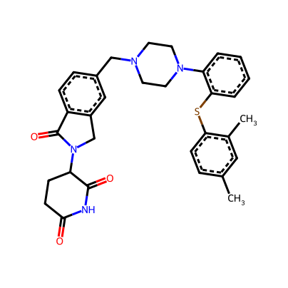 Cc1ccc(Sc2ccccc2N2CCN(Cc3ccc4c(c3)CN(C3CCC(=O)NC3=O)C4=O)CC2)c(C)c1